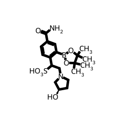 CC1(C)OB(c2cc(C(N)=O)ccc2C(CN2CC[C@@H](O)C2)S(=O)(=O)O)OC1(C)C